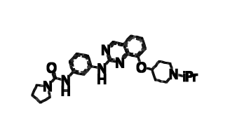 CC(C)N1CCC(Oc2cccc3cnc(Nc4cccc(NC(=O)N5CCCC5)c4)nc23)CC1